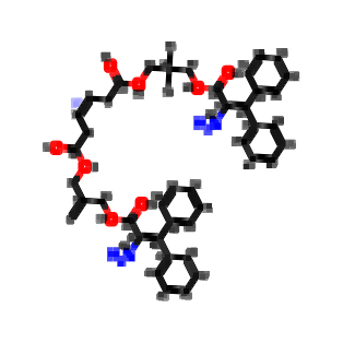 C=C(COC(=O)C/C=C\CC(=O)OCC(C)(C)COC(=O)C(N)=C(c1ccccc1)c1ccccc1)COC(=O)C(N)=C(c1ccccc1)c1ccccc1